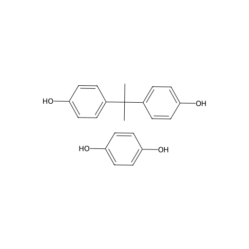 CC(C)(c1ccc(O)cc1)c1ccc(O)cc1.Oc1ccc(O)cc1